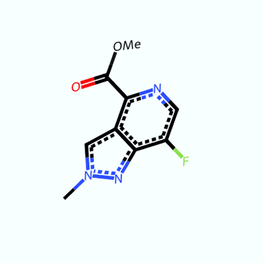 COC(=O)c1ncc(F)c2nn(C)cc12